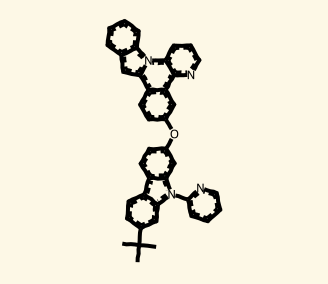 CC(C)(C)c1ccc2c3ccc(Oc4ccc5c(c4)c4ncccc4n4c6ccccc6cc54)cc3n(-c3ccccn3)c2c1